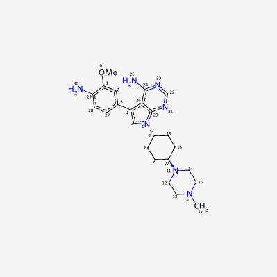 COc1cc(-c2cn([C@H]3CC[C@H](N4CCN(C)CC4)CC3)c3ncnc(N)c23)ccc1N